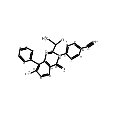 CC(C)c1nc2c(-c3ccccc3)c(O)ccc2c(=O)n1-c1ccc(C#N)cc1